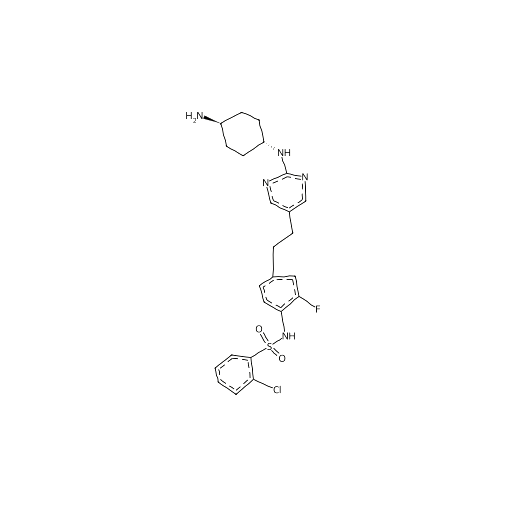 N[C@H]1CC[C@H](Nc2ncc(CCc3ccc(NS(=O)(=O)c4ccccc4Cl)c(F)c3)cn2)CC1